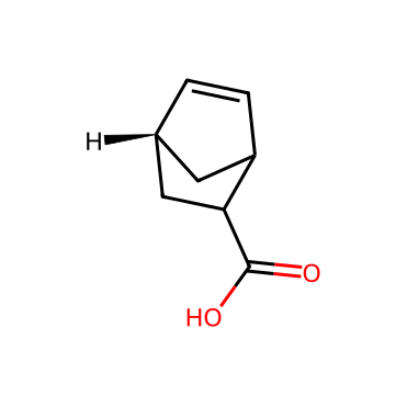 O=C(O)C1C[C@@H]2C=CC1C2